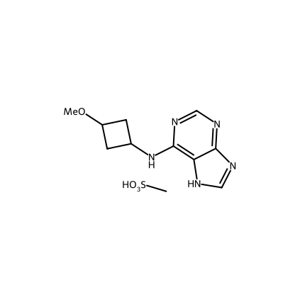 COC1CC(Nc2ncnc3nc[nH]c23)C1.CS(=O)(=O)O